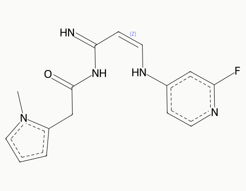 Cn1cccc1CC(=O)NC(=N)/C=C\Nc1ccnc(F)c1